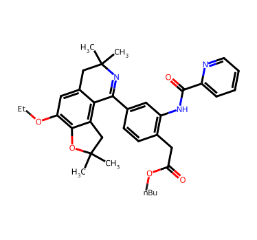 CCCCOC(=O)Cc1ccc(C2=NC(C)(C)Cc3cc(OCC)c4c(c32)CC(C)(C)O4)cc1NC(=O)c1ccccn1